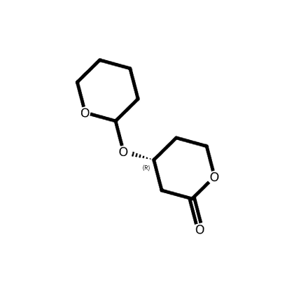 O=C1C[C@H](OC2CCCCO2)CCO1